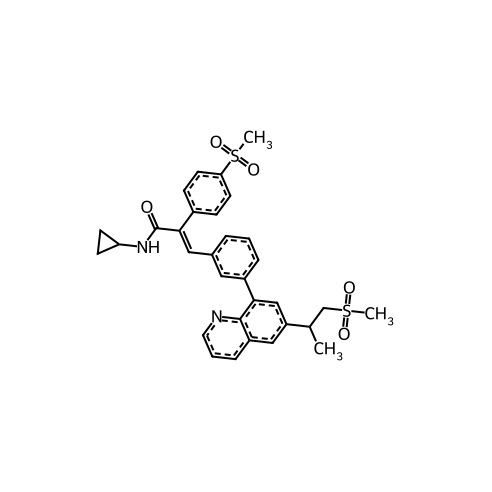 CC(CS(C)(=O)=O)c1cc(-c2cccc(/C=C(/C(=O)NC3CC3)c3ccc(S(C)(=O)=O)cc3)c2)c2ncccc2c1